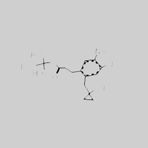 CC1(Cc2cc(Cl)c(N)cc2CCC(=O)OC(C)(C)C)CC1